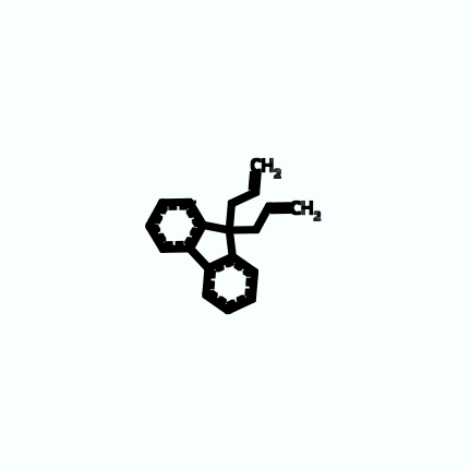 C=CCC1(CC=C)c2[c]cccc2-c2ccccc21